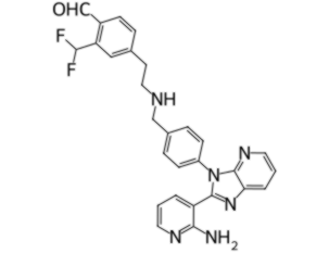 Nc1ncccc1-c1nc2cccnc2n1-c1ccc(CNCCc2ccc(C=O)c(C(F)F)c2)cc1